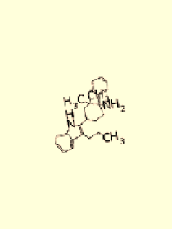 CCCc1c(C2CCC(N)(c3ccccc3)C(C)(C)C2)[nH]c2ccccc12